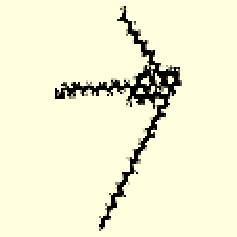 CCCCCCCCCCCCCCCCCCCCCC=CC(=Nc1cccc(CCCCCCCCCCCC)c1)C(CCCCC)=Nc1cccc(CCCCCCCCCCCC)c1.[Ni]